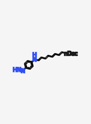 CCCCCCCCCCCCCCCCCCNc1ccc(N=N)cc1